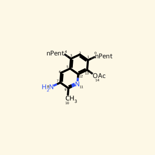 CCCCCc1cc(CCCCC)c2cc(N)c(C)nc2c1OC(C)=O